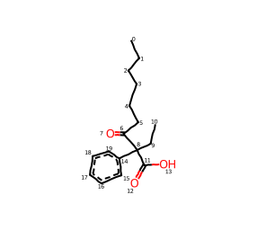 CCCCCCC(=O)C(CC)(C(=O)O)c1ccccc1